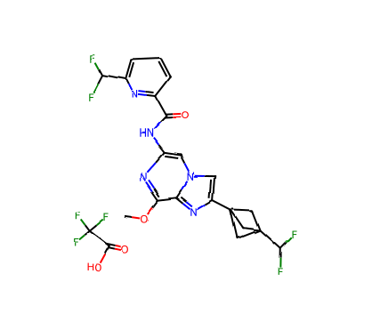 COc1nc(NC(=O)c2cccc(C(F)F)n2)cn2cc(C34CC(C(F)F)(C3)C4)nc12.O=C(O)C(F)(F)F